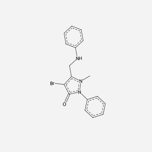 Cn1c(CNc2ccccc2)c(Br)c(=O)n1-c1ccccc1